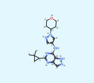 CC1(C)CC1c1nc(Nc2cnn(C3CCOCC3)c2)c2[nH]ncc2n1